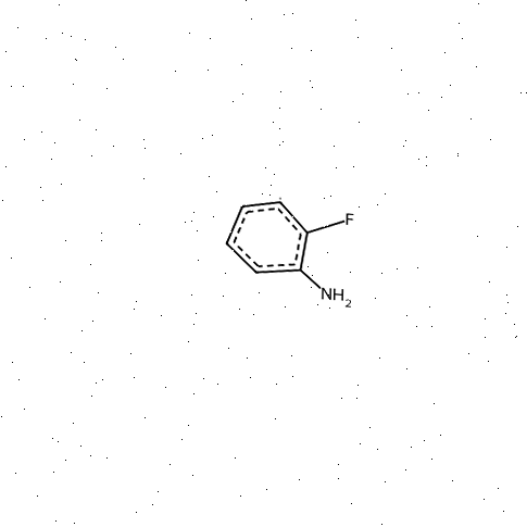 Nc1ccc[c]c1F